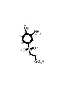 Nc1cc(S(=O)(=O)CCS(=O)(=O)O)ccc1O